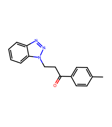 Cc1ccc(C(=O)CCn2nnc3ccccc32)cc1